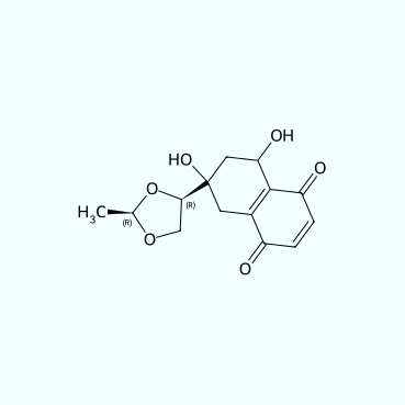 C[C@@H]1OC[C@H](C2(O)CC3=C(C(=O)C=CC3=O)C(O)C2)O1